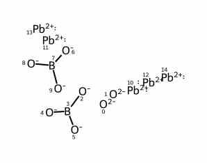 [O-2].[O-2].[O-]B([O-])[O-].[O-]B([O-])[O-].[Pb+2].[Pb+2].[Pb+2].[Pb+2].[Pb+2]